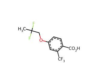 CC(F)(F)COc1ccc(C(=O)O)c(C(F)(F)F)c1